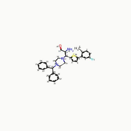 Cc1ccc(F)cc1-c1ccc(C(C(N)C=O)N2CCN(C(c3ccccc3)c3ccccc3)CC2)s1